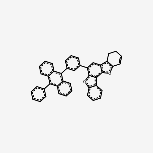 C1=Cc2oc3c(cc(-c4cccc(-c5c6ccccc6c(-c6ccccc6)c6ccccc56)c4)c4oc5ccccc5c43)c2CC1